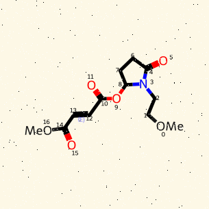 COCCN1C(=O)CCC1OC(=O)/C=C/C(=O)OC